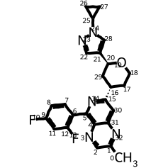 Cc1cnc2c(-c3ccc(F)cc3F)nc([C@H]3CCO[C@H](c4cnn(C5CC5)c4)C3)cc2n1